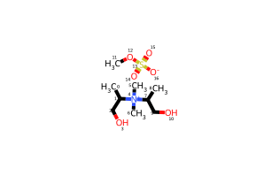 CC(CO)[N+](C)(C)C(C)CO.COS(=O)(=O)[O-]